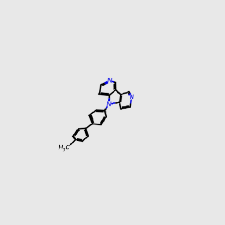 Cc1ccc(-c2ccc(-n3c4ccncc4c4cnccc43)cc2)cc1